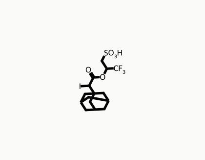 O=C(OC(CS(=O)(=O)O)C(F)(F)F)C(I)C12CC3CC(CC(C3)C1)C2